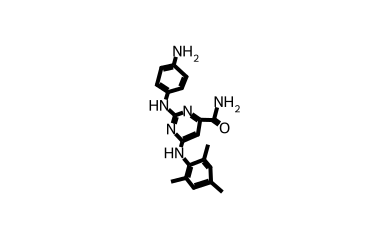 Cc1cc(C)c(Nc2cc(C(N)=O)nc(Nc3ccc(N)cc3)n2)c(C)c1